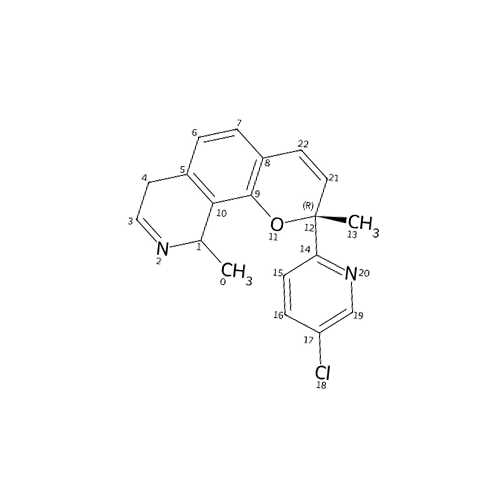 CC1N=CCc2ccc3c(c21)O[C@@](C)(c1ccc(Cl)cn1)C=C3